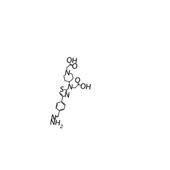 NN=Cc1ccc(-c2csc(N(CC(=O)O)C3CCN(CC(=O)O)CC3)n2)cc1